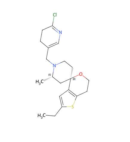 CCc1cc2c(s1)CCO[C@@]21CCN(CC2=CN=C(Cl)CC2)[C@@H](C)C1